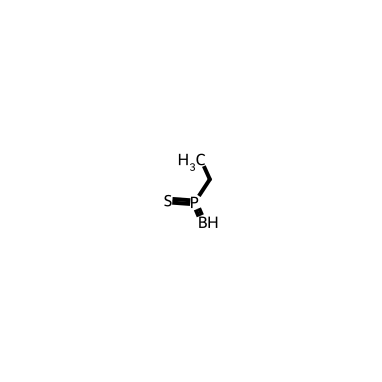 B=P(=S)CC